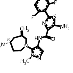 C=C1C[C@@H](N)CCN(c2c(NC(=O)c3nc(-c4c(F)cccc4F)sc3N)cnn2C)C1